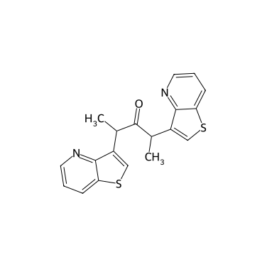 CC(C(=O)C(C)c1csc2cccnc12)c1csc2cccnc12